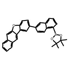 CC1(C)OB(c2cccc3cc(-c4ccc5oc6cc7ccccc7cc6c5c4)ccc23)OC1(C)C